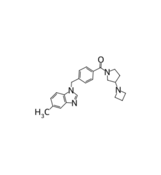 Cc1ccc2c(c1)ncn2Cc1ccc(C(=O)N2CCC(N3CCC3)C2)cc1